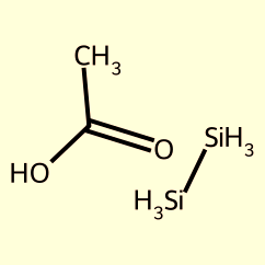 CC(=O)O.[SiH3][SiH3]